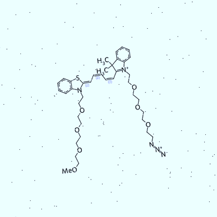 COCCOCCOCCOCCN1/C(=C/C=C\C=C/C2=[N+](CCOCCOCCOCCN=[N+]=[N-])c3ccccc3C2(C)C)Sc2ccccc21